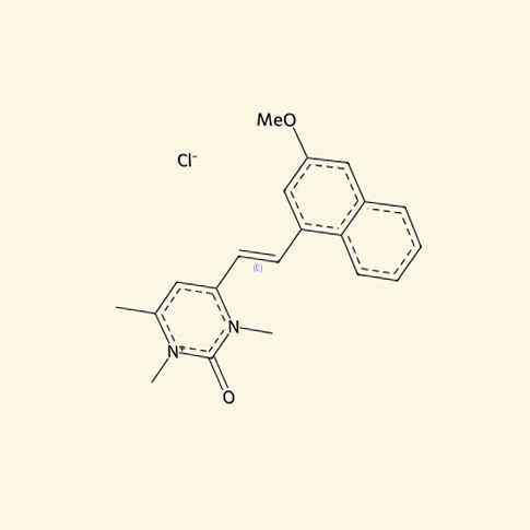 COc1cc(/C=C/c2cc(C)[n+](C)c(=O)n2C)c2ccccc2c1.[Cl-]